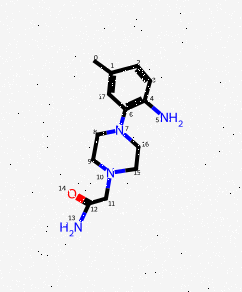 Cc1ccc(N)c(N2CCN(CC(N)=O)CC2)c1